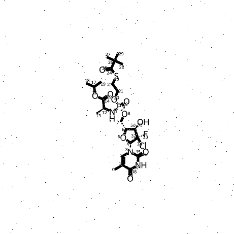 Cc1cn([C@@H]2O[C@H](CO[P@](=O)(N[C@@H](C)C(=O)OC(C)C)OCCSC(=O)C(C)(C)C)[C@@H](O)[C@@]2(F)Cl)c(=O)[nH]c1=O